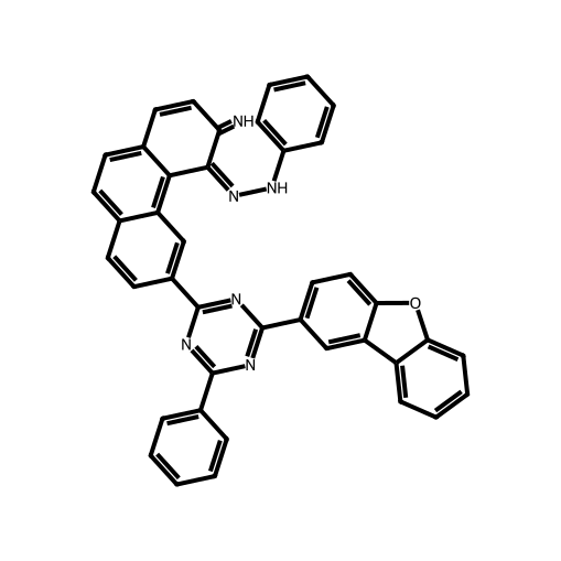 N=C1C=Cc2ccc3ccc(-c4nc(-c5ccccc5)nc(-c5ccc6oc7ccccc7c6c5)n4)cc3c2/C1=N/Nc1ccccc1